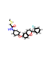 CSCC(=O)NC1CCC(Oc2ccc3c(c2)CCC(c2ccccc2F)O3)CC1